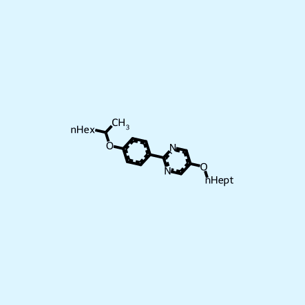 CCCCCCCOc1cnc(-c2ccc(OC(C)CCCCCC)cc2)nc1